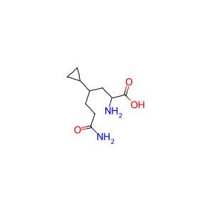 NC(=O)CCC(CC(N)C(=O)O)C1CC1